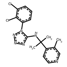 Cc1cnccc1C(C)(C)Nc1nnnn1-c1cccc(Cl)c1Cl